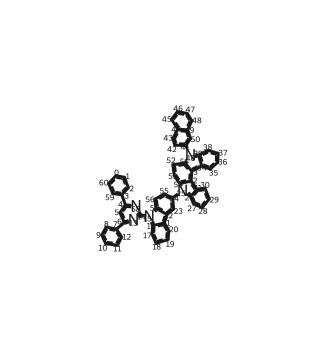 c1ccc(-c2cc(-c3ccccc3)nc(-n3c4ccccc4c4cc(-n5c6ccccc6c6c7c8ccccc8n(-c8ccc9ccccc9c8)c7ccc65)ccc43)n2)cc1